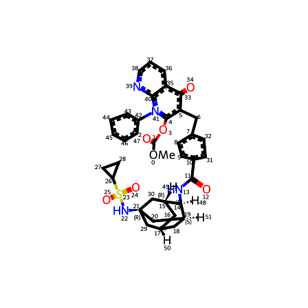 COC(=O)Oc1c(Cc2ccc(C(=O)N[C@@H]3[C@@H]4C[C@@H]5C[C@H]3C[C@](NS(=O)(=O)C3CC3)(C5)C4)cc2)c(=O)c2cccnc2n1-c1ccccc1